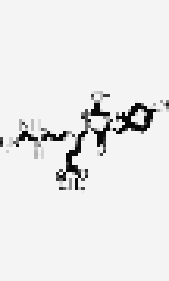 COC(=O)/C=C/[C@H](CCCNC(N)N)NC(=O)[C@H](Cc1ccc(O)cc1)NC(C)=O